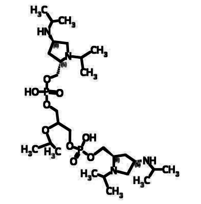 CC(C)N[C@@H]1C[C@@H](COP(=O)(O)OCC(COP(=O)(O)OC[C@H]2C[C@H](NC(C)C)CN2C(C)C)OC(C)C)N(C(C)C)C1